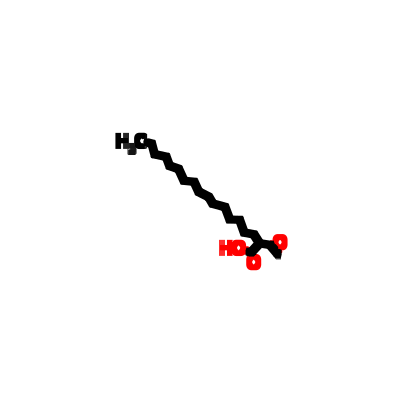 CCCCCCCCCCCCCCCCC(C(=O)O)C1CO1